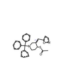 CC(=O)SC1CCN(C(c2ccccc2)(c2ccccc2)c2ccccc2)C/C1=C/c1ccno1